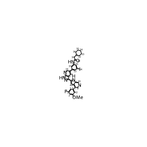 COc1cc(F)cc(-c2cncc3[nH]c(-c4n[nH]c5ncc(-c6cc(I)cc(NC(=O)CC7CCCCC7)c6)cc45)cc23)c1